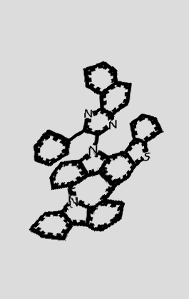 c1ccc(-c2nc3c(ccc4ccccc43)nc2-n2c3cccc4c3c3c(cc5sc6ccccc6c5c32)c2cccc3c5ccccc5n4c23)cc1